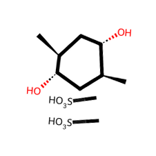 CS(=O)(=O)O.CS(=O)(=O)O.C[C@H]1C[C@H](O)[C@@H](C)C[C@@H]1O